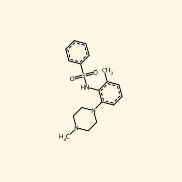 Cc1cccc(N2CCN(C)CC2)c1NS(=O)(=O)c1ccccc1